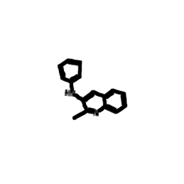 Cc1nc2ccccc2cc1Nc1ccccc1